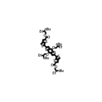 CCCCC(CC)COC(=O)c1cc2csc(-c3cc4c(OCC(CC)CCCC)c5sc(-c6scc7cc(C(=O)OCC(CC)CCCC)sc67)cc5c(OCC(CC)CCCC)c4s3)c2s1